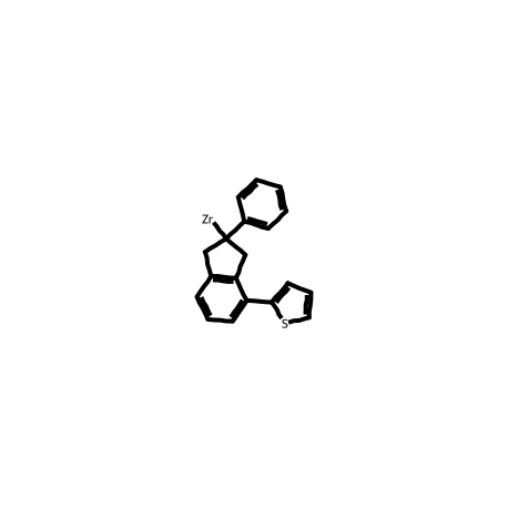 [Zr][C]1(c2ccccc2)Cc2cccc(-c3cccs3)c2C1